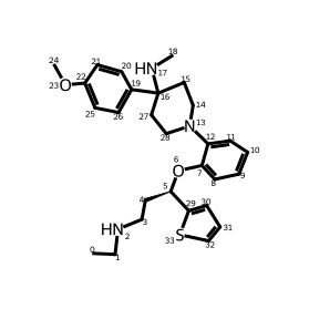 CCNCC[C@@H](Oc1ccccc1N1CCC(NC)(c2ccc(OC)cc2)CC1)c1cccs1